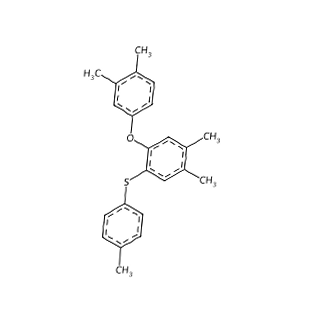 Cc1ccc(Sc2cc(C)c(C)cc2Oc2ccc(C)c(C)c2)cc1